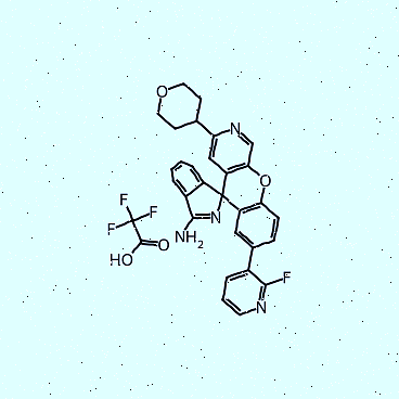 NC1=NC2(c3cc(-c4cccnc4F)ccc3Oc3cnc(C4CCOCC4)cc32)c2ccccc21.O=C(O)C(F)(F)F